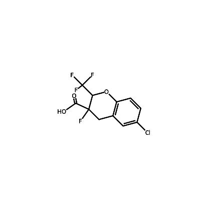 O=C(O)C1(F)Cc2cc(Cl)ccc2OC1C(F)(F)F